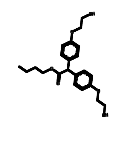 CCCCOC(=O)C(c1ccc(OCCO)cc1)c1ccc(OCCO)cc1